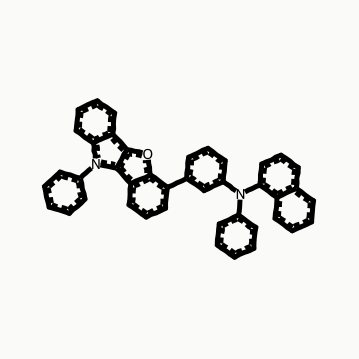 c1ccc(N(c2cccc(-c3cccc4c3oc3c5ccccc5n(-c5ccccc5)c43)c2)c2cccc3ccccc23)cc1